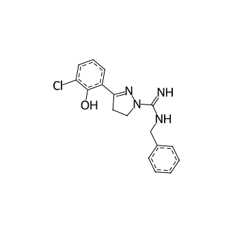 N=C(NCc1ccccc1)N1CCC(c2cccc(Cl)c2O)=N1